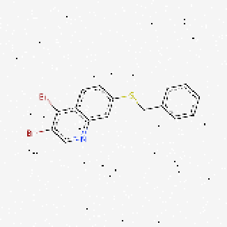 Brc1cnc2cc(SCc3ccccc3)ccc2c1Br